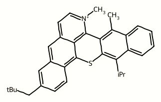 Cc1c2c(c(C(C)C)c3ccccc13)Sc1c3ccc(CC(C)(C)C)cc3cc3cc[n+](C)c-2c13